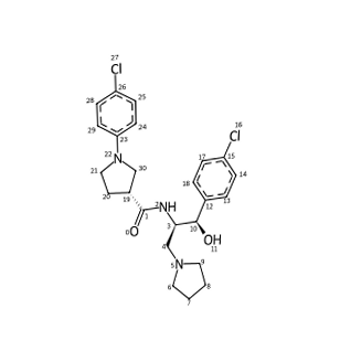 O=C(N[C@H](CN1CCCC1)[C@H](O)c1ccc(Cl)cc1)[C@@H]1CCN(c2ccc(Cl)cc2)C1